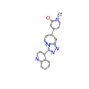 CCn1ccc(-c2ccn3c(-c4ccnc5ccccc45)nnc3c2)cc1=O